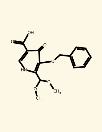 COC(OC)c1[nH]cc(C(=O)O)c(=O)c1OCc1ccccc1